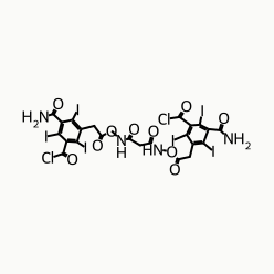 NC(=O)c1c(I)c(CC(=O)ONC(=O)CC(=O)NOC(=O)Cc2c(I)c(C(N)=O)c(I)c(C(=O)Cl)c2I)c(I)c(C(=O)Cl)c1I